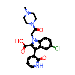 CN1CCN(C(=O)Cn2c(C(=O)O)c(-c3ccc[nH]c3=O)c3cc(Cl)ccc32)CC1